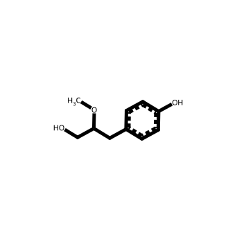 COC(CO)Cc1ccc(O)cc1